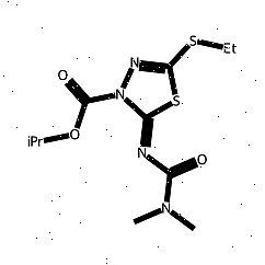 CCSc1nn(C(=O)OC(C)C)c(=NC(=O)N(C)C)s1